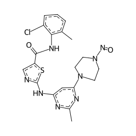 Cc1nc(Nc2ncc(C(=O)Nc3c(C)cccc3Cl)s2)cc(N2CCN(N=O)CC2)n1